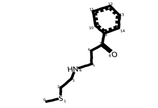 CSCCNCCC(=O)c1ccccc1